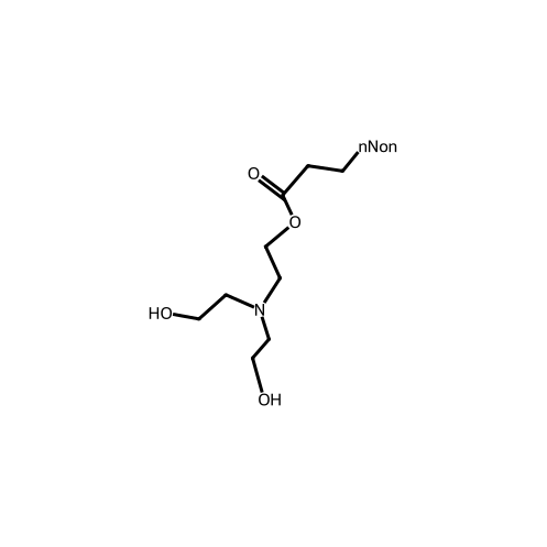 CCCCCCCCCCCC(=O)OCCN(CCO)CCO